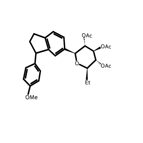 CC[C@H]1O[C@@H](c2ccc3c(c2)C(c2ccc(OC)cc2)CC3)[C@H](OC(C)=O)[C@@H](OC(C)=O)[C@@H]1OC(C)=O